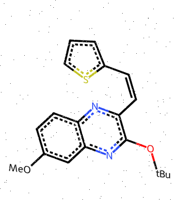 COc1ccc2nc(/C=C\c3cccs3)c(OC(C)(C)C)nc2c1